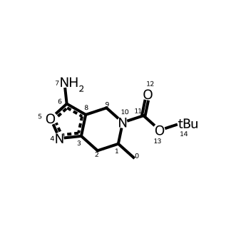 CC1Cc2noc(N)c2CN1C(=O)OC(C)(C)C